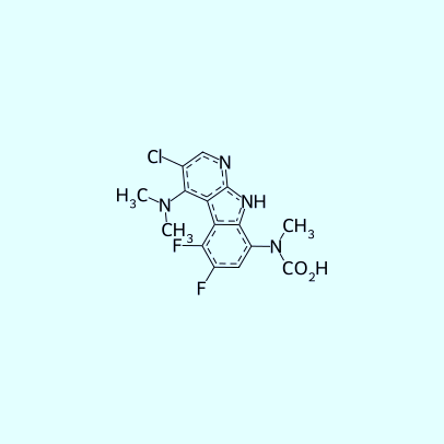 CN(C)c1c(Cl)cnc2[nH]c3c(N(C)C(=O)O)cc(F)c(F)c3c12